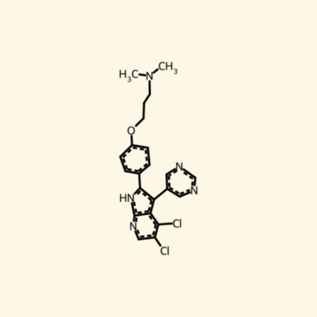 CN(C)CCCOc1ccc(-c2[nH]c3ncc(Cl)c(Cl)c3c2-c2cncnc2)cc1